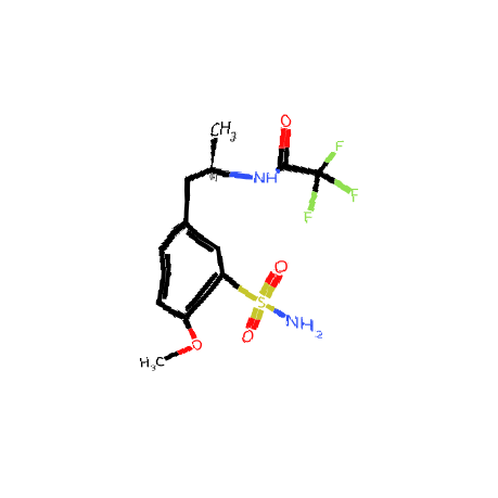 COc1ccc(C[C@@H](C)NC(=O)C(F)(F)F)cc1S(N)(=O)=O